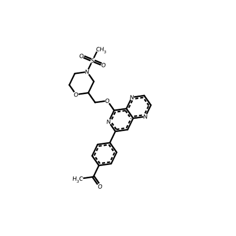 CC(=O)c1ccc(-c2cc3nccnc3c(OCC3CN(S(C)(=O)=O)CCO3)n2)cc1